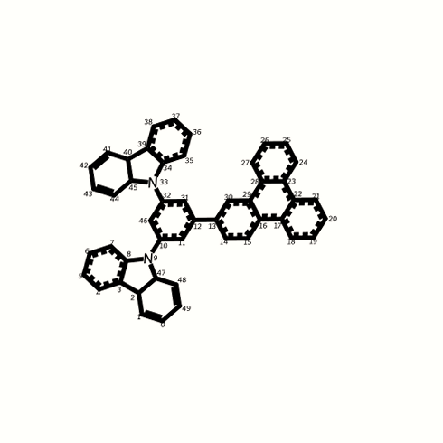 C1=CC2c3ccccc3N(c3cc(-c4ccc5c6ccccc6c6ccccc6c5c4)cc(N4c5ccccc5C5C=CC=CC54)c3)C2C=C1